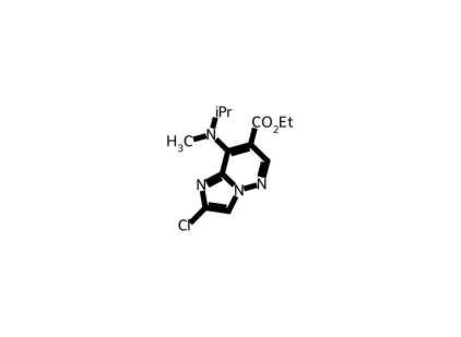 CCOC(=O)c1cnn2cc(Cl)nc2c1N(C)C(C)C